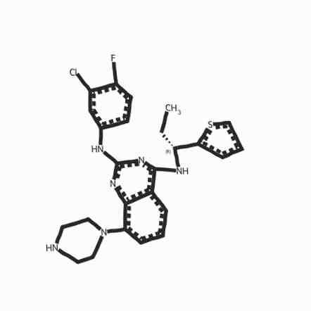 CC[C@@H](Nc1nc(Nc2ccc(F)c(Cl)c2)nc2c(N3CCNCC3)cccc12)c1cccs1